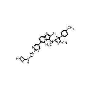 CCc1nc2ccc(-c3cnc(N4CC(NC5CNC5)C4)nc3)cn2c1N(C)c1nc(-c2ccc(C)cc2)c(C#N)s1